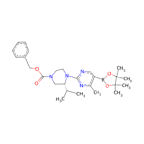 Cc1nc(N2CCN(C(=O)OCc3ccccc3)C[C@H]2C(C)C)ncc1B1OC(C)(C)C(C)(C)O1